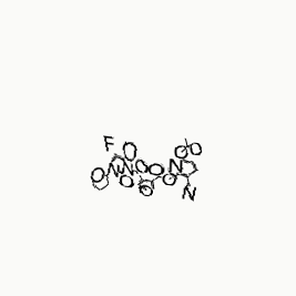 CC(=O)Oc1ccc(C#N)c(OC(=O)c2cocc2C(=O)n2c(=O)c(F)cn(C3CCCO3)c2=O)n1